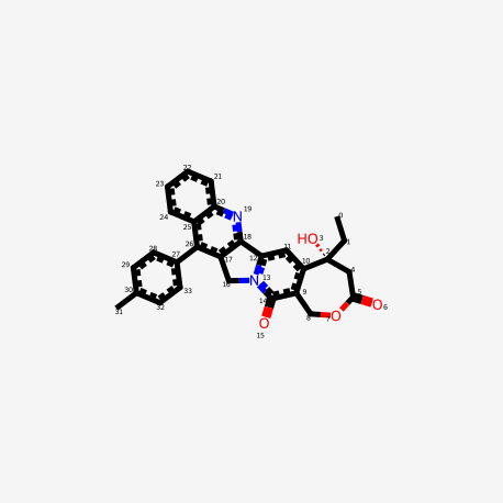 CC[C@@]1(O)CC(=O)OCc2c1cc1n(c2=O)Cc2c-1nc1ccccc1c2-c1ccc(C)cc1